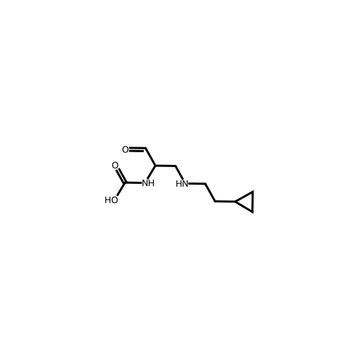 O=CC(CNCCC1CC1)NC(=O)O